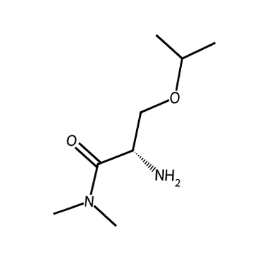 CC(C)OC[C@H](N)C(=O)N(C)C